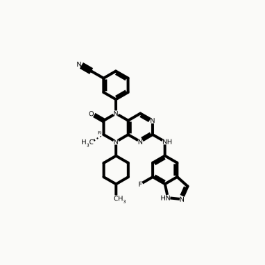 CC1CCC(N2c3nc(Nc4cc(F)c5[nH]ncc5c4)ncc3N(c3cccc(C#N)c3)C(=O)[C@H]2C)CC1